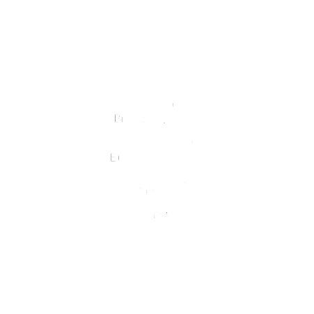 CCC1c2c(OOC(C)=O)cccc2C(=O)C1Br